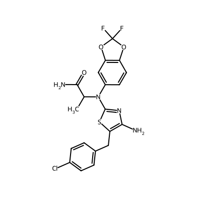 CC(C(N)=O)N(c1ccc2c(c1)OC(F)(F)O2)c1nc(N)c(Cc2ccc(Cl)cc2)s1